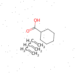 C=C.C=C.C=C.O=C(O)C1CCCCC1